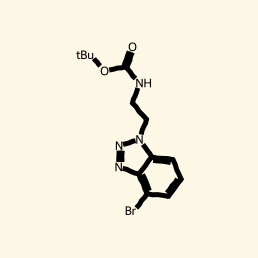 CC(C)(C)OC(=O)NCCn1nnc2c(Br)cccc21